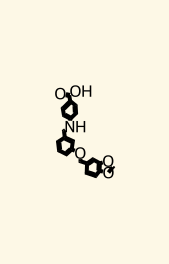 O=C(O)c1ccc(NCc2cccc(OCc3ccc4c(c3)OCO4)c2)cc1